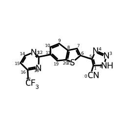 N#Cc1[nH]nnc1-c1cc2ccc(-c3nccc(C(F)(F)F)n3)cc2s1